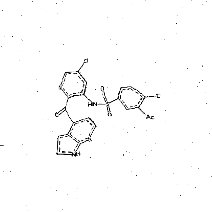 CC(=O)c1cc(S(=O)(=O)Nc2cc(Cl)cnc2C(=O)c2ccnc3[nH]ccc23)ccc1Cl